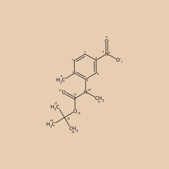 [CH2]c1ccc([N+](=O)[O-])cc1N(C)C(=O)OC(C)(C)C